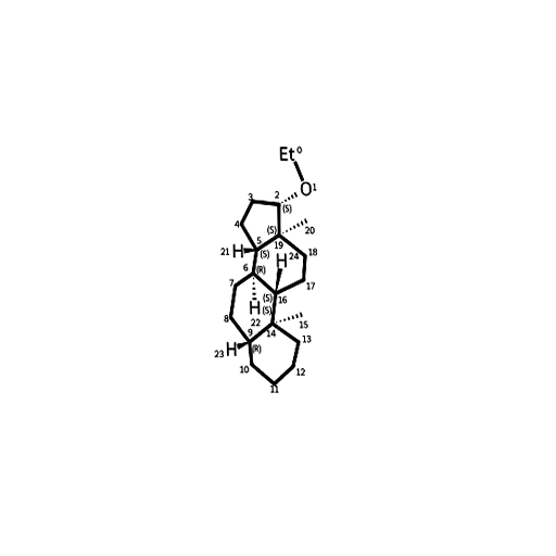 CCO[C@H]1CC[C@H]2[C@@H]3CC[C@H]4CCCC[C@]4(C)[C@H]3CC[C@]12C